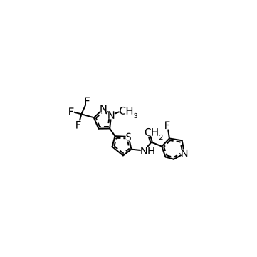 C=C(Nc1ccc(-c2cc(C(F)(F)F)nn2C)s1)c1ccncc1F